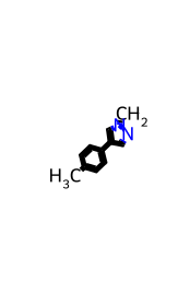 [CH2]n1cc(-c2ccc(C)cc2)cn1